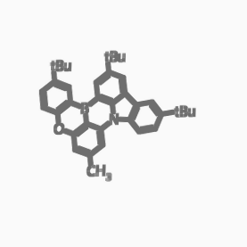 Cc1cc2c3c(c1)-n1c4ccc(C(C)(C)C)cc4c4cc(C(C)(C)C)cc(c41)B3c1cc(C(C)(C)C)ccc1O2